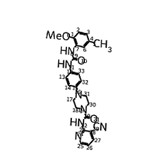 COc1ccc(C)cc1NC(=O)Nc1ccc(N2CCN(C(=O)Nc3ncccc3C#N)CC2)cc1